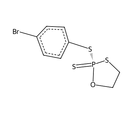 S=[P@]1(Sc2ccc(Br)cc2)OCCS1